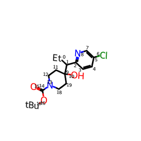 CCC(c1ccc(Cl)cn1)C1(O)CCN(C(=O)OC(C)(C)C)CC1